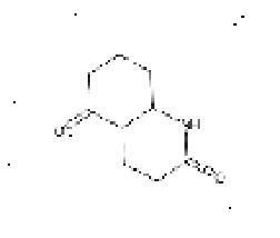 O=C1CCC2C(=O)CCCC2N1